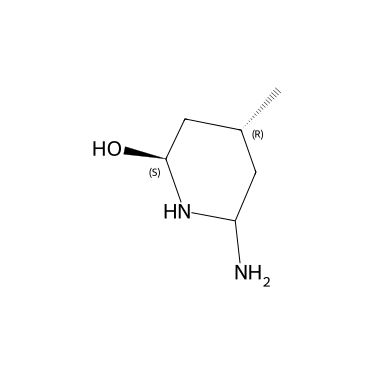 C[C@@H]1CC(N)N[C@@H](O)C1